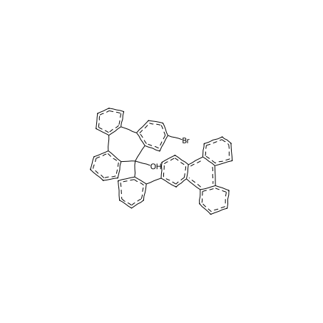 OC1(c2ccccc2-c2ccc3c4ccccc4c4ccccc4c3c2)c2ccccc2-c2ccccc2-c2ccc(Br)cc21